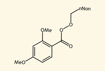 [CH2]CCCCCCCCCOOC(=O)c1ccc(OC)cc1OC